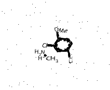 CN.COc1ccc(Cl)cc1Cl.[H+]